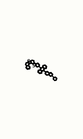 c1ccc(-c2ccc3cc(-c4c5ccccc5c(-c5ccc6c(c5)sc5c6ccc6oc7ccc8ccccc8c7c65)c5ccccc45)ccc3c2)cc1